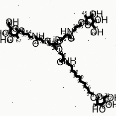 CC1C(OCCCCCCCCCCCCNC(=O)CCOCC(COCCC(=O)NCCCOC2OC(CO)C(O)C(O)C2C)(COCCC(=O)NCCCOC2OC(CO)C(O)C(O)C2C)C(C)C)OC(CO)C(O)C1O